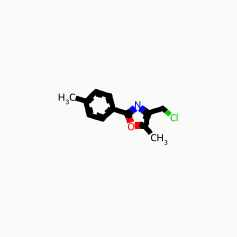 Cc1ccc(-c2nc(CCl)c(C)o2)cc1